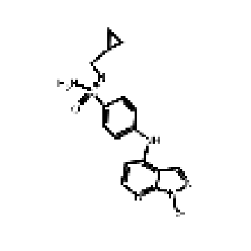 CCn1ncc2c(Nc3ccc(S(N)(=O)=NCC4CC4)cc3)ccnc21